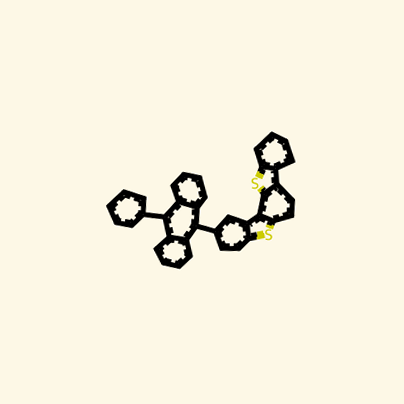 c1ccc(-c2c3ccccc3c(-c3ccc4sc5ccc6c7ccccc7sc6c5c4c3)c3ccccc23)cc1